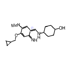 CNC1=C/C(=C/NC2CCC(O)CC2)C(=N)C=C1OCC1CC1